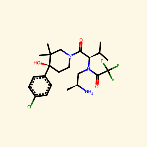 CC(C)[C@H](C(=O)N1CC[C@](O)(c2ccc(Cl)cc2)C(C)(C)C1)N(C[C@H](C)N)C(=O)C(F)(F)F